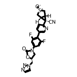 N#C[C@]1(c2ccc(-c3c(F)cc(N4C[C@H](Cn5ccnn5)OC4=O)cc3F)cn2)[C@@H]2C[S+]([O-])C[C@@H]21